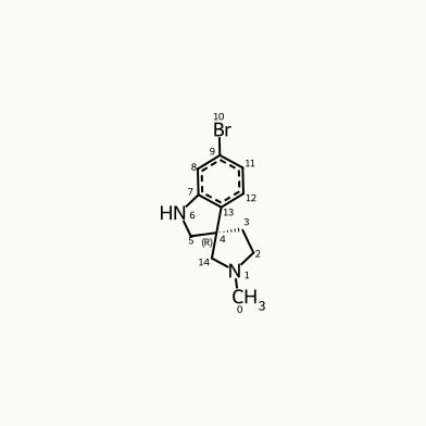 CN1CC[C@@]2(CNc3cc(Br)ccc32)C1